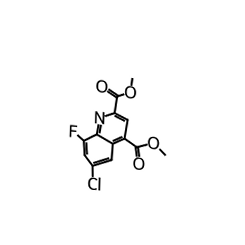 COC(=O)c1cc(C(=O)OC)c2cc(Cl)cc(F)c2n1